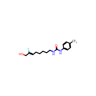 O=C(NCCCCC/C=C(\F)CO)Nc1ccc(C(F)(F)F)cc1